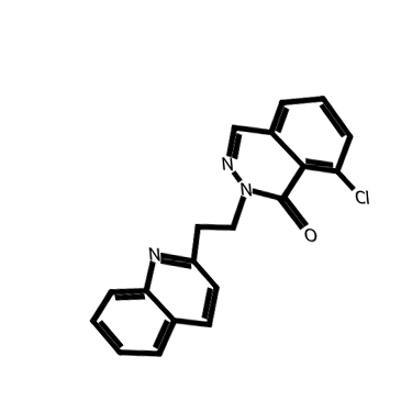 O=c1c2c(Cl)cccc2cnn1CCc1ccc2ccccc2n1